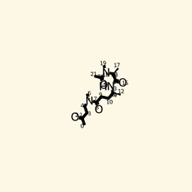 CC(=O)CCN(C)C(=O)CC[C@H](C)NC(=O)[C@H](C)N(C)C(C)=O